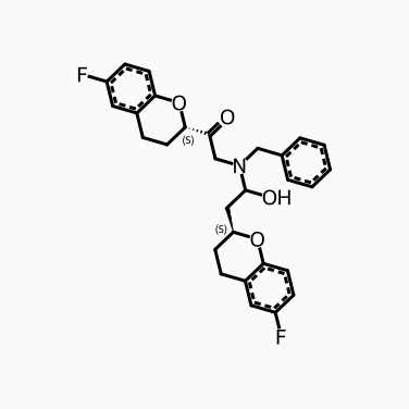 O=C(CN(Cc1ccccc1)C(O)C[C@@H]1CCc2cc(F)ccc2O1)[C@@H]1CCc2cc(F)ccc2O1